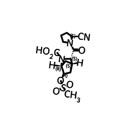 CS(=O)(=O)O[C@@H]1C[C@@H]2C[C@H]1N(C(=O)O)[C@@H]2C(=O)N1CCC[C@H]1C#N